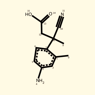 Cc1cc(N)ccc1C(C)(C#N)CC(=O)O